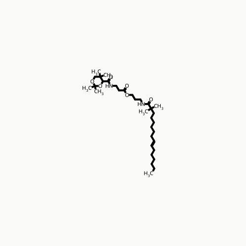 CCCCCC/C=C/CCCCCCC(C)(C)C(=O)NCCCOC(=O)CCNC(=O)C1OC(C)(C)OCC1(C)C